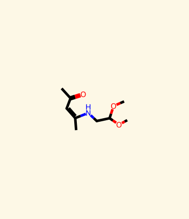 COC(CN/C(C)=C\C(C)=O)OC